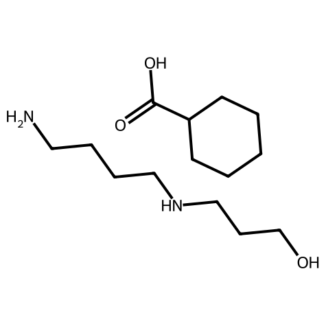 NCCCCNCCCO.O=C(O)C1CCCCC1